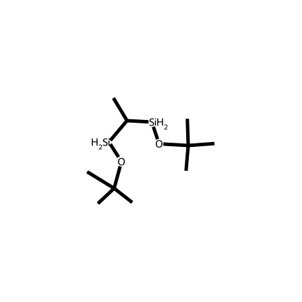 CC([SiH2]OC(C)(C)C)[SiH2]OC(C)(C)C